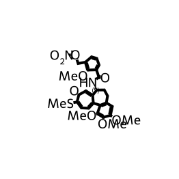 COc1cc2c(c(OC)c1OC)-c1ccc(SC)c(=O)cc1[C@@H](NC(=O)c1cccc(CO[N+](=O)[O-])c1OC)CC2